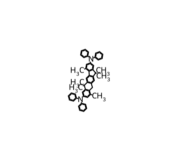 Cc1cc(N(c2ccccc2)c2ccccc2)cc2c1Cc1cc3c(cc1C2(C)C)-c1c(C)cc(N(c2ccccc2)c2ccccc2)cc1C3(C)C